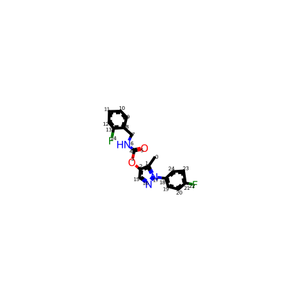 Cc1c(OC(=O)NCc2ccccc2F)cnn1-c1ccc(F)cc1